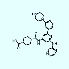 O=C(O)[C@H]1CC[C@H](C(=O)Nc2cc(Nc3cnccn3)nc(-c3ccnc(N4CCNCC4)c3)c2)CC1